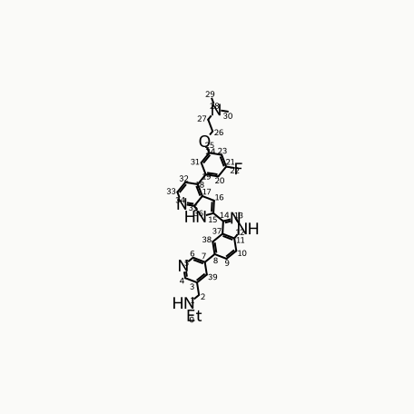 CCNCc1cncc(-c2ccc3[nH]nc(-c4cc5c(-c6cc(F)cc(OCCN(C)C)c6)ccnc5[nH]4)c3c2)c1